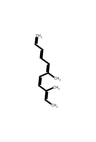 C=C/C=C/C=C(C)\C=C/C(C)=C/C